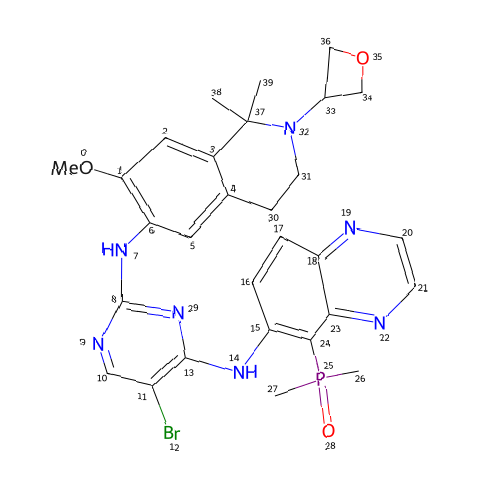 COc1cc2c(cc1Nc1ncc(Br)c(Nc3ccc4nccnc4c3P(C)(C)=O)n1)CCN(C1COC1)C2(C)C